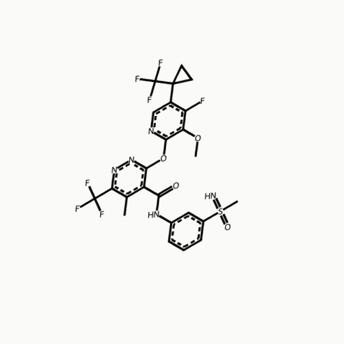 COc1c(Oc2nnc(C(F)(F)F)c(C)c2C(=O)Nc2cccc(S(C)(=N)=O)c2)ncc(C2(C(F)(F)F)CC2)c1F